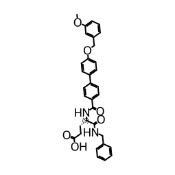 COc1cccc(COc2ccc(-c3ccc(C(=O)N[C@@H](CCC(=O)O)C(=O)NCc4ccccc4)cc3)cc2)c1